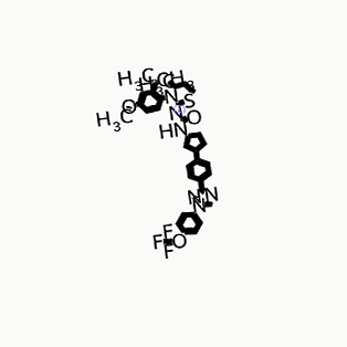 COc1ccc(N2/C(=N/C(=O)NC3CCC(c4ccc(-c5ncn(-c6ccc(OC(F)(F)F)cc6)n5)cc4)C3)SCCC2C)c(C(C)C)c1